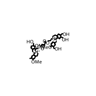 COc1cc2c(cc1C)[C@@H](Cc1ccc(CO)c(OC)c1)[N@+](C)(CCCOC(=O)/C=C/C(=O)OCCC[N@+]1(C)CCc3cc(CO)c(CO)cc3[C@H]1Cc1ccc(OC)c(CO)c1)CC2